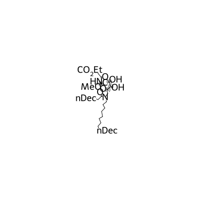 CCCCCCCCCCCCCCCCCCN(C[C@H]1O[C@](NC(=O)CC(=O)OCC)(OC)C[C@@H](O)[C@@H]1O)C(=O)CCCCCCCCCCC